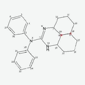 c1ccc(N(C(=NC2CCCCC2)NC2CCCCC2)c2ccccc2)cc1